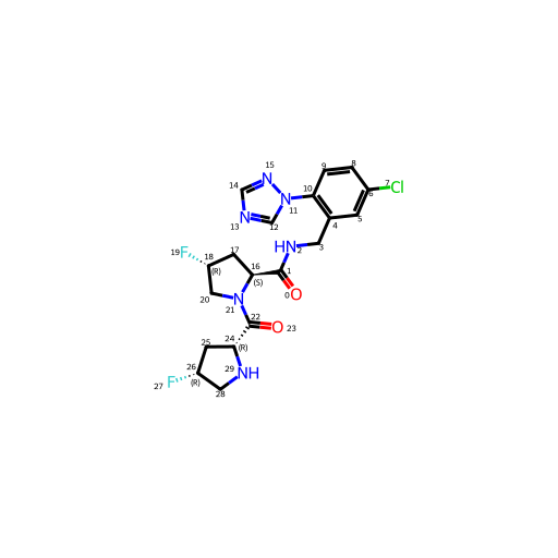 O=C(NCc1cc(Cl)ccc1-n1cncn1)[C@@H]1C[C@@H](F)CN1C(=O)[C@H]1C[C@@H](F)CN1